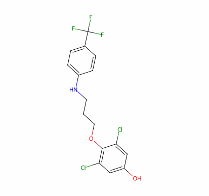 Oc1cc(Cl)c(OCCCNc2ccc(C(F)(F)F)cc2)c(Cl)c1